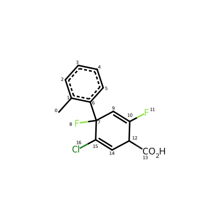 Cc1ccccc1C1(F)C=C(F)C(C(=O)O)C=C1Cl